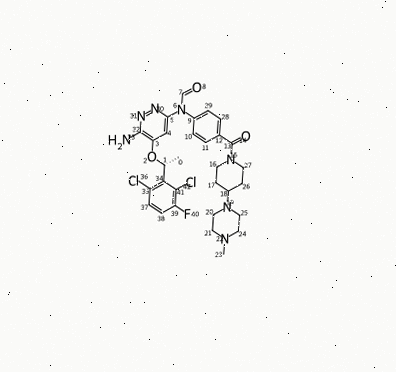 C[C@@H](Oc1cc(N(C=O)c2ccc(C(=O)N3CCC(N4CCN(C)CC4)CC3)cc2)nnc1N)c1c(Cl)ccc(F)c1Cl